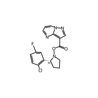 O=C(ON1CCC[C@@H]1c1cc(F)ccc1Cl)c1cnn2cccnc12